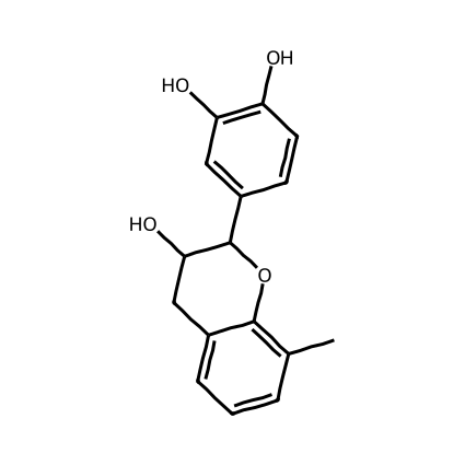 Cc1cccc2c1OC(c1ccc(O)c(O)c1)C(O)C2